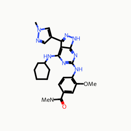 CNC(=O)c1ccc(Nc2nc(NC3CCCCC3)c3c(-c4cnn(C)c4)n[nH]c3n2)c(OC)c1